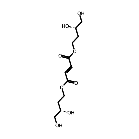 O=C(/C=C/C(=O)OCC[C@H](O)CO)OCC[C@H](O)CO